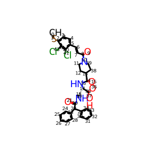 CSc1ccc(/C=C/C(=O)N2CCC(C(=O)N[C@@H](CNC(=O)C(c3ccccc3)c3ccccc3)C(=O)O)CC2)c(Cl)c1Cl